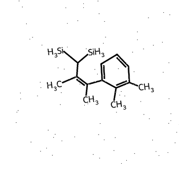 CC(=C(C)C([SiH3])[SiH3])c1cccc(C)c1C